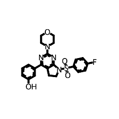 O=S(=O)(c1ccc(F)cc1)N1CCc2c(-c3cccc(O)c3)nc(N3CCOCC3)nc21